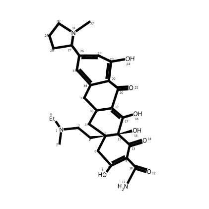 CCN(C)CC[C@]12CC(O)=C(C(N)=O)C(=O)[C@@]1(O)C(O)=C1C(=O)c3c(O)cc(C4CCCN4C)cc3CC1C2